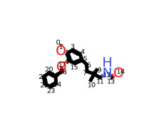 COc1ccc(CCC(C)(C)CNC=O)cc1OCc1ccccc1